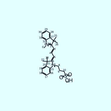 C[N+]1=C(/C=C/C=C2/N(CCCS(=O)(=O)O)c3ccccc3C2(C)C)C(C)(C)c2ccccc21